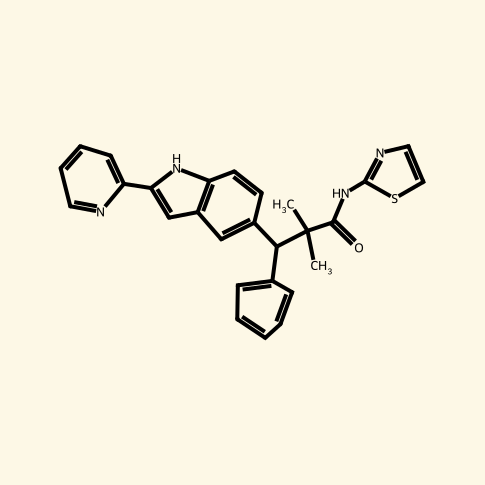 CC(C)(C(=O)Nc1nccs1)C(c1ccccc1)c1ccc2[nH]c(-c3ccccn3)cc2c1